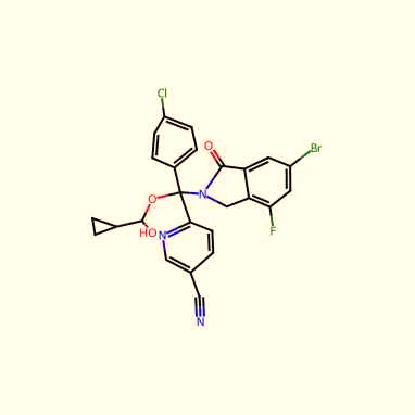 N#Cc1ccc(C(OC(O)C2CC2)(c2ccc(Cl)cc2)N2Cc3c(F)cc(Br)cc3C2=O)nc1